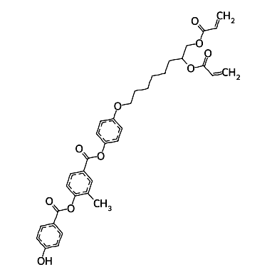 C=CC(=O)OCC(CCCCCCOc1ccc(OC(=O)c2ccc(OC(=O)c3ccc(O)cc3)c(C)c2)cc1)OC(=O)C=C